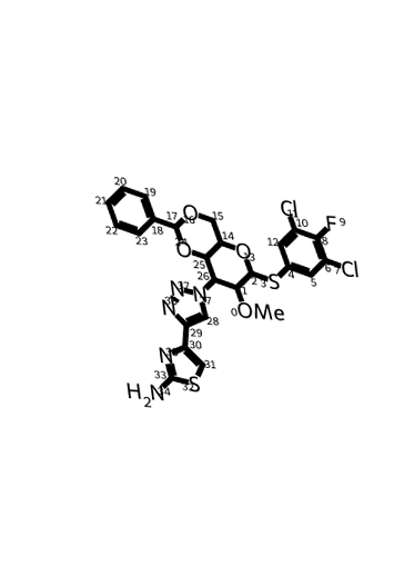 COC1C(Sc2cc(Cl)c(F)c(Cl)c2)OC2COC(c3ccccc3)OC2C1n1cc(-c2csc(N)n2)nn1